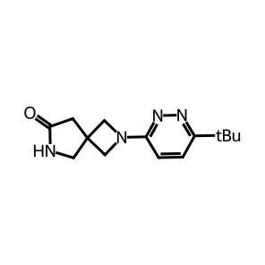 CC(C)(C)c1ccc(N2CC3(CNC(=O)C3)C2)nn1